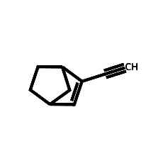 C#CC1=CC2CCC1C2